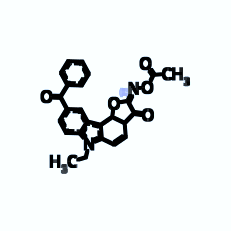 CCn1c2c(c3cc(C(=O)c4ccccc4)ccc31)C1O/C(=N/OC(C)=O)C(=O)C1C=C2